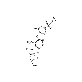 Cc1c(Oc2ccc(S(=O)(=O)C3CC3)cc2F)ncnc1OC1CC2CC[C@@H](C1)N2S(=O)(=O)CC(C)C